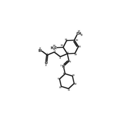 CCC(=O)CCC1(/C=N/C2CCCCC2)CC=C(C)CC1C